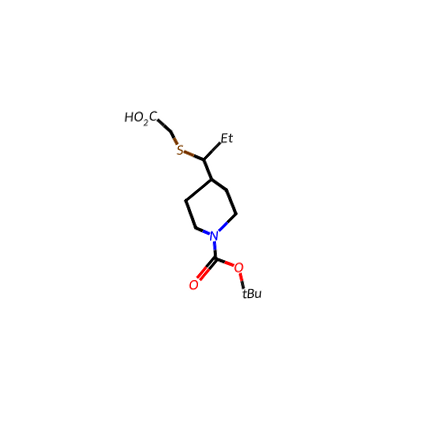 CCC(SCC(=O)O)C1CCN(C(=O)OC(C)(C)C)CC1